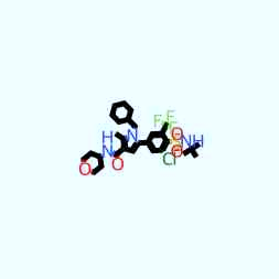 Cc1c(C(=O)NC2CCOCC2)cc(-c2cc(Cl)c(S(=O)(=O)NC(C)(C)C)c(C(F)(F)F)c2)n1CC1CCCCC1